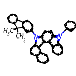 CC1(C)c2ccccc2-c2ccc(-n3c4ccc5ccccc5c4c4c5c6ccccc6n(-c6ccccc6)c5ccc43)cc21